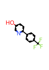 Oc1ccc(-c2ccc(C(F)(F)F)cc2)nc1